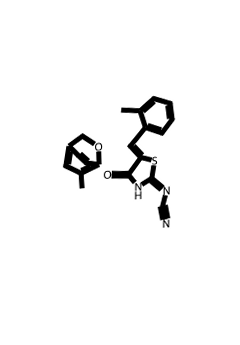 Cc1cc2ccc1OC2.Cc1ccccc1C=C1SC(=NC#N)NC1=O